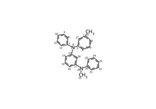 Cc1cccc(N(c2ccccc2)c2cccc(N(C)c3ccccc3)c2)c1